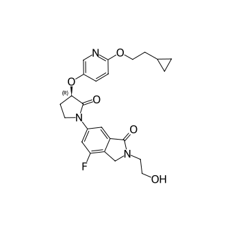 O=C1c2cc(N3CC[C@@H](Oc4ccc(OCCC5CC5)nc4)C3=O)cc(F)c2CN1CCO